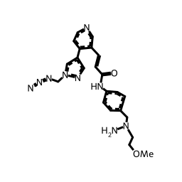 COCCN(N)Cc1ccc(NC(=O)/C=C/c2cnccc2-c2cnn(CN=[N+]=[N-])c2)cc1